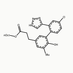 CCCCCCCCOC(=O)CCc1cc(-c2ccc(Cl)cc2-c2c[nH]nn2)c(O)c(C(C)(C)C)c1